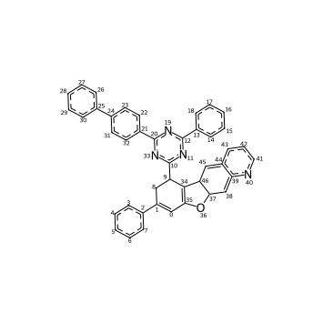 C1=C(c2ccccc2)CC(c2nc(-c3ccccc3)nc(-c3ccc(-c4ccccc4)cc3)n2)C2=C1OC1C=c3ncccc3=CC21